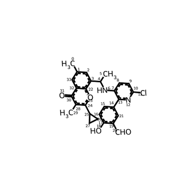 Cc1cc(C(C)Nc2ccc(Cl)nc2-c2ccc(O)c(C=O)c2)c2oc(C3CC3)c(C)c(=O)c2c1